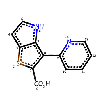 O=C(O)c1sc2cc[nH]c2c1-c1ccccn1